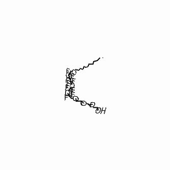 [CH2]CCCCCCCCCCOCC(F)(F)OC(F)(F)C(F)(F)OC(F)(F)C(F)(F)OC(F)(F)COCCOCCOCCO